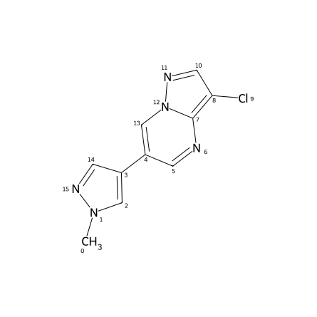 Cn1cc(-c2cnc3c(Cl)cnn3c2)cn1